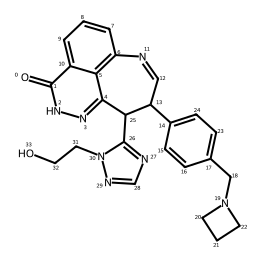 O=c1[nH]nc2c3c(cccc13)N=CC(c1ccc(CN3CCC3)cc1)C2c1ncnn1CCO